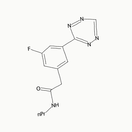 CCCNC(=O)Cc1cc(F)cc(-c2nncnn2)c1